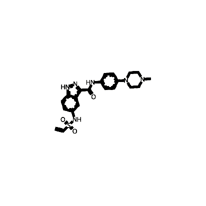 C=CS(=O)(=O)Nc1ccc2[nH]nc(C(=O)Nc3ccc(N4CCN(C)CC4)cc3)c2c1